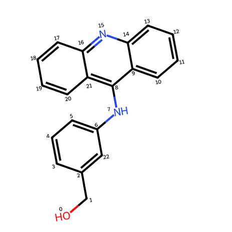 OCc1cccc(Nc2c3ccccc3nc3ccccc23)c1